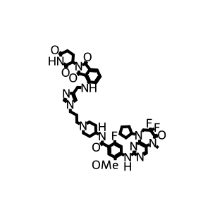 COc1cc(C(=O)NC2CCN(CCCn3cnc(CNc4cccc5c4C(=O)N(C4CCC(=O)NC4=O)C5=O)c3)CC2)c(F)cc1Nc1ncc2c(n1)N(C1CCCC1)CC(F)(F)C(=O)N2C